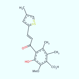 COc1c(O)c(C(=O)C=Cc2cc(C)cs2)c(C)c(C)c1C(=O)O